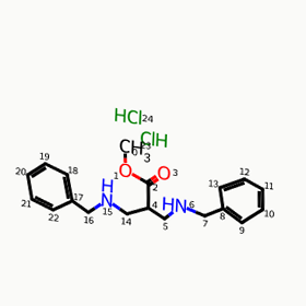 COC(=O)C(CNCc1ccccc1)CNCc1ccccc1.Cl.Cl